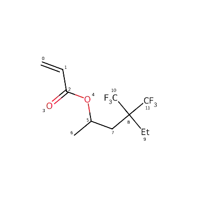 C=CC(=O)OC(C)CC(CC)(C(F)(F)F)C(F)(F)F